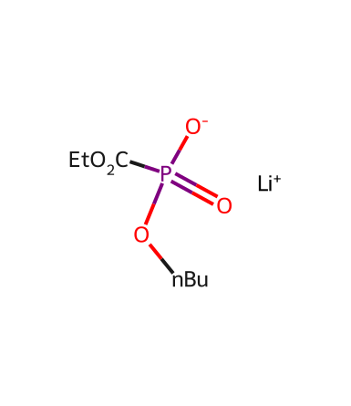 CCCCOP(=O)([O-])C(=O)OCC.[Li+]